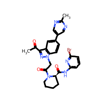 CC(=O)c1nn(CC(=O)N2CCCC[C@@H]2C(=O)Nc2cccc(Br)n2)c2ccc(-c3cnc(C)nc3)cc12